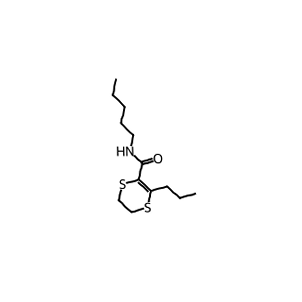 CCCCCNC(=O)C1=C(CCC)SCCS1